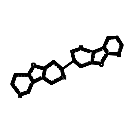 c1cnc2oc3cc(-c4cc5oc6ccncc6c5cn4)cnc3c2c1